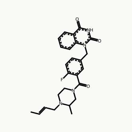 CC=CCN1CCN(C(=O)c2cc(Cn3c(=O)[nH]c(=O)c4ccccc43)ccc2F)CC1C